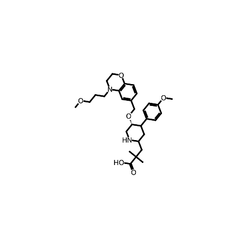 COCCCN1CCOc2ccc(CO[C@H]3CNC(CC(C)(C)C(=O)O)CC3c3ccc(OC)cc3)cc21